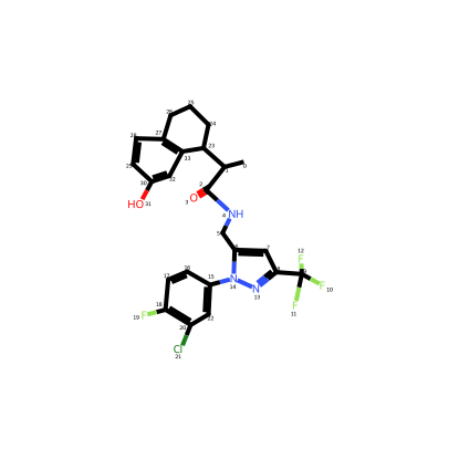 CC(C(=O)NCc1cc(C(F)(F)F)nn1-c1ccc(F)c(Cl)c1)C1CCCc2ccc(O)cc21